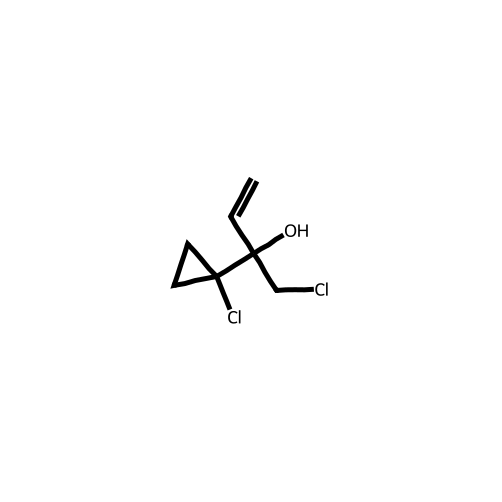 C=CC(O)(CCl)C1(Cl)CC1